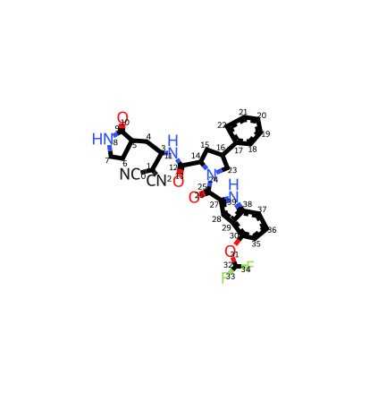 N#CC(C#N)C(CC1CCNC1=O)NC(=O)C1CC(c2ccccc2)CN1C(=O)c1cc2c(OC(F)F)cccc2[nH]1